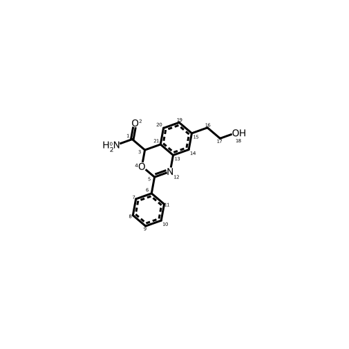 NC(=O)C1OC(c2ccccc2)=Nc2cc(CCO)ccc21